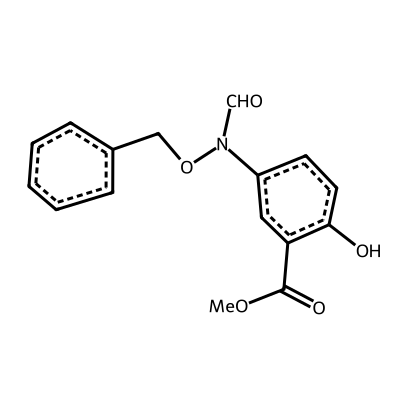 COC(=O)c1cc(N(C=O)OCc2ccccc2)ccc1O